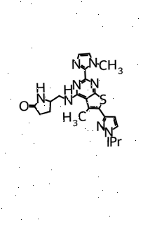 Cc1c(-c2ccn(C(C)C)n2)sc2nc(-c3nccn3C)nc(NCC3CCC(=O)N3)c12